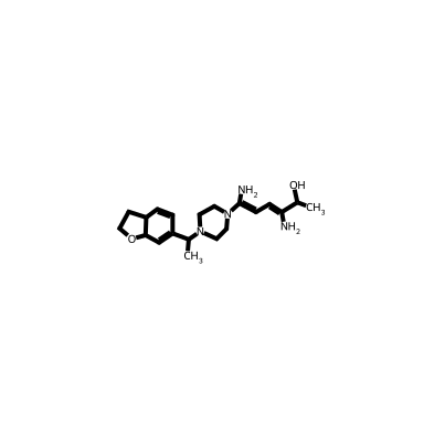 CC(O)/C(N)=C/C=C(\N)N1CCN(C(C)C2=CC3OCCC3C=C2)CC1